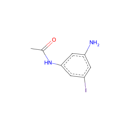 CC(=O)Nc1cc(N)cc(I)c1